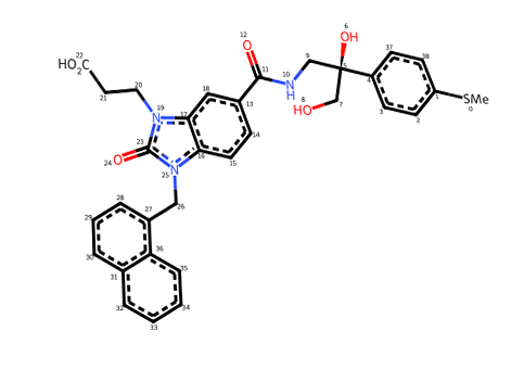 CSc1ccc([C@](O)(CO)CNC(=O)c2ccc3c(c2)n(CCC(=O)O)c(=O)n3Cc2cccc3ccccc23)cc1